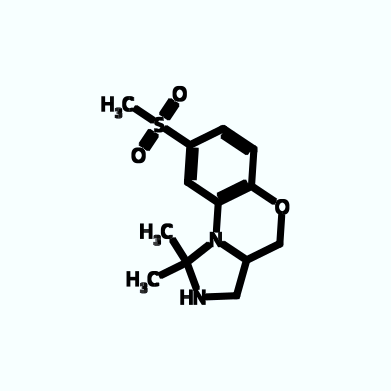 CC1(C)NCC2COc3ccc(S(C)(=O)=O)cc3N21